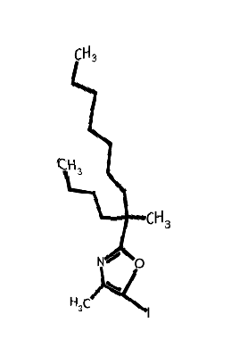 CCCCCCCC(C)(CCCC)c1nc(C)c(I)o1